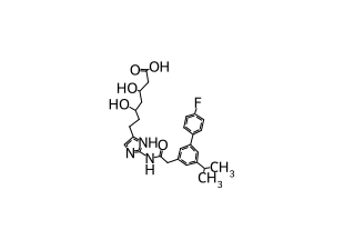 CC(C)c1cc(CC(=O)Nc2ncc(CCC(O)CC(O)CC(=O)O)[nH]2)cc(-c2ccc(F)cc2)c1